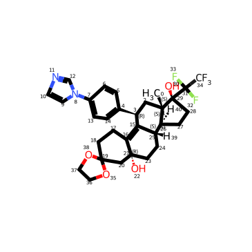 C[C@]12C[C@H](c3ccc(-n4ccnc4)cc3)C3=C4CCC5(C[C@]4(O)CC[C@H]3[C@@H]1CC[C@@]2(O)C(F)(F)C(F)(F)F)OCCO5